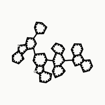 c1ccc(-c2cc(-c3cc(-c4c5ccccc5c(-c5cc6ccccc6c6ccccc56)c5ccccc45)c4c(c3)oc3ccccc34)c3c(c2)sc2ccccc23)cc1